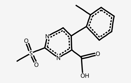 Cc1ccccc1-c1cnc(S(C)(=O)=O)nc1C(=O)O